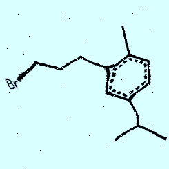 Cc1ccc(C(C)C)cc1CCCBr